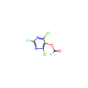 O=C(F)Oc1c(Cl)nc(F)nc1Cl